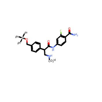 CC(C)[Si](OCc1ccc(C(CNC(=O)O)C(=O)Nc2ccc(C(N)=O)c(F)c2)cc1)(C(C)C)C(C)C